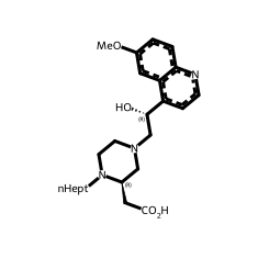 CCCCCCCN1CCN(C[C@H](O)c2ccnc3ccc(OC)cc23)C[C@H]1CC(=O)O